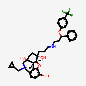 Oc1ccc2c3c1O[C@H]1[C@](O)(CCCNCCC(Oc4ccc(C(F)(F)F)cc4)c4ccccc4)CC[C@@]4(O)C(C2)N(CC2CC2)CC[C@]314